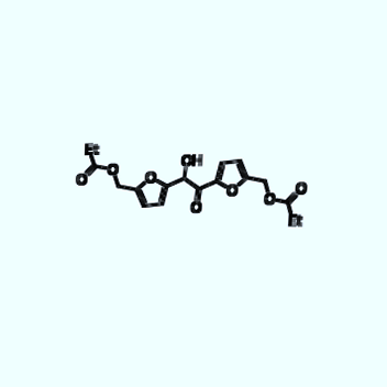 CCC(=O)OCc1ccc(C(=O)C(O)c2ccc(COC(=O)CC)o2)o1